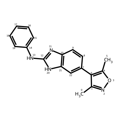 Cc1noc(C)c1-c1ccc2nc(Nc3ccccc3)[nH]c2c1